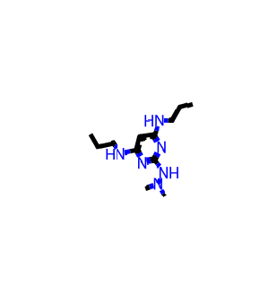 CCCNc1cc(NCCC)nc(NN(C)C)n1